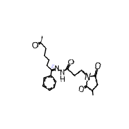 CC(=O)CCCC/C(=N/NC(=O)CCN1C(=O)CC(C)C1=O)c1ccccc1